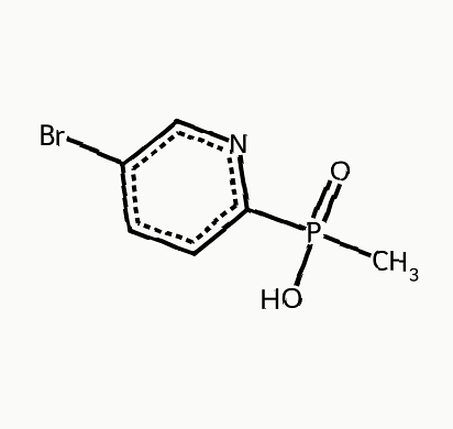 CP(=O)(O)c1ccc(Br)cn1